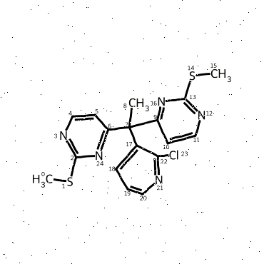 CSc1nccc(C(C)(c2ccnc(SC)n2)c2cccnc2Cl)n1